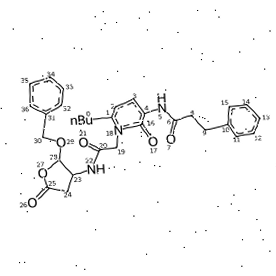 CCCCc1ccc(NC(=O)CCc2ccccc2)c(=O)n1CC(=O)NC1CC(=O)OC1OCc1ccccc1